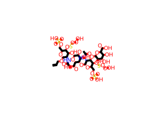 C=CCOC1OC(COS(=O)(=O)O)C(OSOOO)C(OC2OC(C(=O)O)C(OC3OC(COS(=O)(=O)O)C(OSOOO)C(OC4OC(C(=O)O)C(O)C(O)C4O)C3NC(C)=O)C(O)C2O)C1NC(C)=O